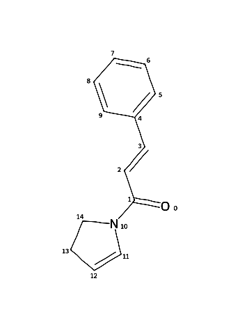 O=C(C=Cc1ccccc1)N1C=CCC1